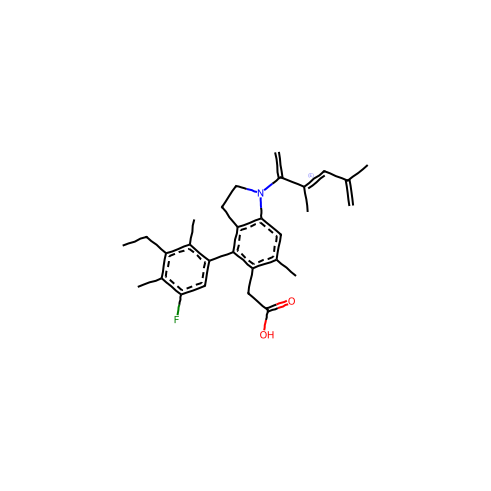 C=C(C)/C=C(\C)C(=C)N1CCc2c1cc(C)c(CC(=O)O)c2-c1cc(F)c(C)c(CC)c1C